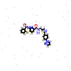 O=C(NCc1cnc(-c2ccc(-n3cccn3)cc2)s1)c1ccc2c(c1)NC(=O)c1ccccc1S2